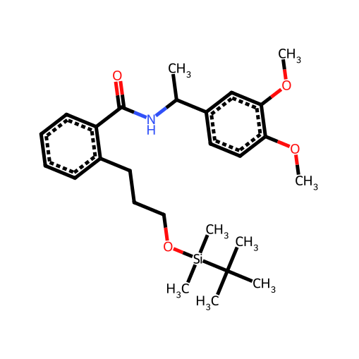 COc1ccc(C(C)NC(=O)c2ccccc2CCCO[Si](C)(C)C(C)(C)C)cc1OC